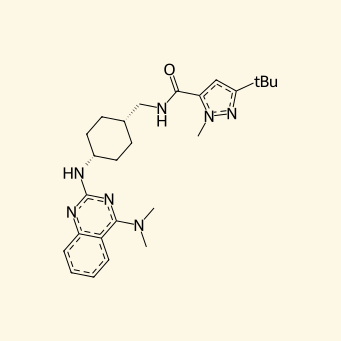 CN(C)c1nc(N[C@H]2CC[C@@H](CNC(=O)c3cc(C(C)(C)C)nn3C)CC2)nc2ccccc12